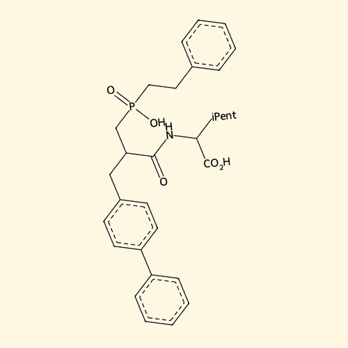 CCCC(C)C(NC(=O)C(Cc1ccc(-c2ccccc2)cc1)CP(=O)(O)CCc1ccccc1)C(=O)O